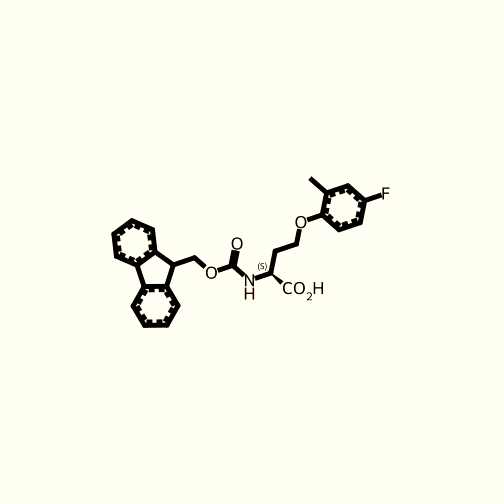 Cc1cc(F)ccc1OCC[C@H](NC(=O)OCC1c2ccccc2-c2ccccc21)C(=O)O